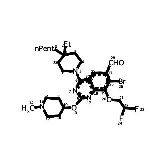 CCCCCC1(CC)CCN(c2nc(OC3CCN(C)CC3)nc3c(OCC(F)F)c(Br)c(C=O)cc23)CC1